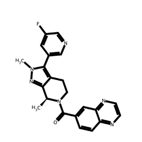 C[C@H]1c2nn(C)c(-c3cncc(F)c3)c2CCN1C(=O)c1ccc2nccnc2c1